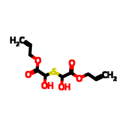 C=CCOC(=O)C(O)SC(O)C(=O)OCC=C